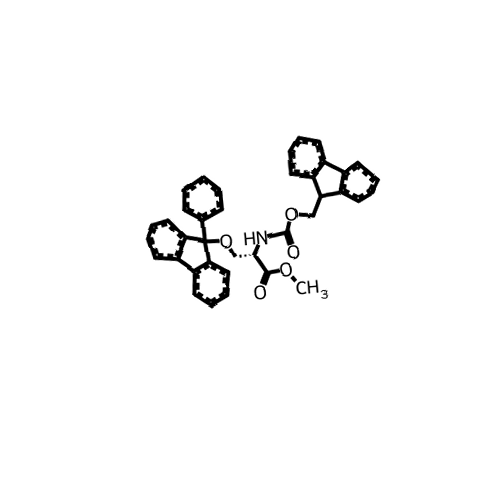 COC(=O)[C@H](COC1(c2ccccc2)c2ccccc2-c2ccccc21)NC(=O)OCC1c2ccccc2-c2ccccc21